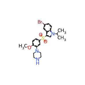 COc1ccc(S(=O)(=O)c2cn(C(C)C)c3ccc(Br)cc23)cc1N1CCNCC1